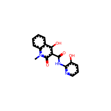 Cn1c(=O)c(C(=O)Nc2ncccc2O)c(O)c2ccccc21